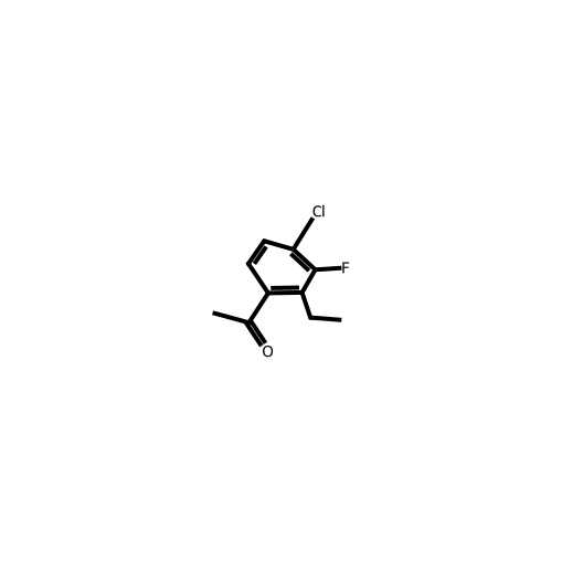 CCc1c(C(C)=O)ccc(Cl)c1F